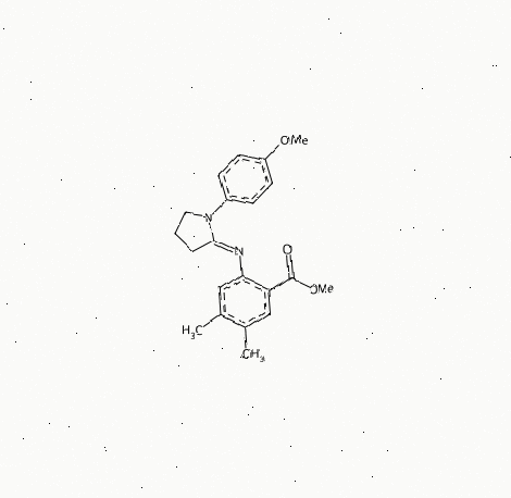 COC(=O)c1cc(C)c(C)cc1N=C1CCCN1c1ccc(OC)cc1